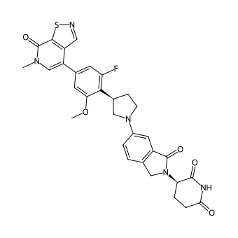 COc1cc(-c2cn(C)c(=O)c3sncc23)cc(F)c1[C@H]1CCN(c2ccc3c(c2)C(=O)N([C@@H]2CCC(=O)NC2=O)C3)C1